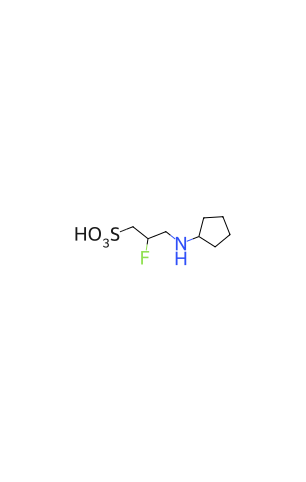 O=S(=O)(O)CC(F)CNC1CCCC1